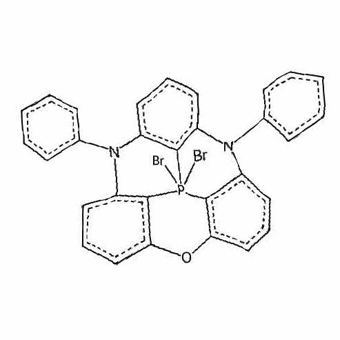 BrP12(Br)c3c4cccc3N(c3ccccc3)c3cccc(c31)N(c1ccccc1)c1cccc(c12)O4